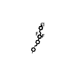 C[C@H]1CC[C@H](CCC2CCC(c3cc(F)c(CCc4ccc(Cl)cc4)c(F)c3)CC2)CC1